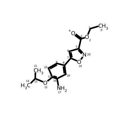 CCOC(=O)c1cc(-c2ccc(OC(C)C)c(N)c2)on1